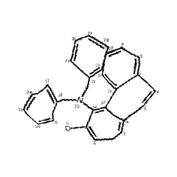 Clc1ccc2ccc3ccccc3c2c1N(c1ccccc1)c1ccccc1